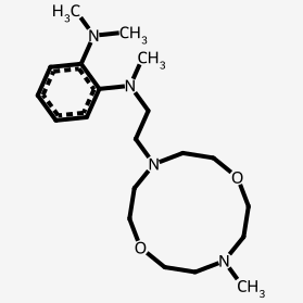 CN1CCOCCN(CCN(C)c2ccccc2N(C)C)CCOCC1